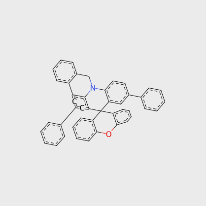 c1ccc(-c2ccc3c(c2)C2(c4ccccc4Oc4ccccc42)c2cc(-c4ccccc4)cc4c2N3Cc2ccccc2-4)cc1